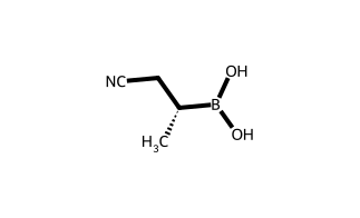 C[C@H](CC#N)B(O)O